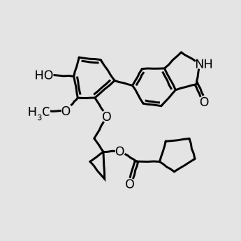 COc1c(O)ccc(-c2ccc3c(c2)CNC3=O)c1OCC1(OC(=O)C2CCCC2)CC1